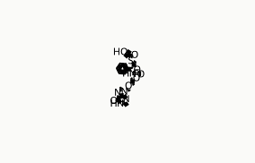 Cc1nc2c(ncn2COCCOP(=O)(NCc2ccccc2)OCCSC(=O)C(C)(C)O)c(=O)[nH]1